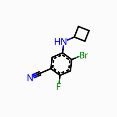 N#Cc1cc(NC2CCC2)c(Br)cc1F